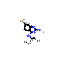 C[C@@H](CO)Nc1nc(N)nc2cc(Br)ccc12